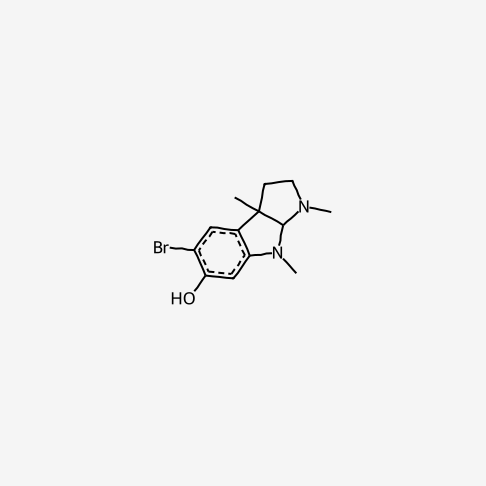 CN1CCC2(C)c3cc(Br)c(O)cc3N(C)C12